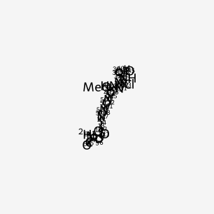 [2H]N1Cc2c(cccc2S(=O)(=O)CCCCN2CCN(C3CCN(c4ccc(Nc5ncc(Cl)c(Nc6ccccc6P(C)(C)=O)n5)c(OC)c4)CC3)CC2)C1=C=O